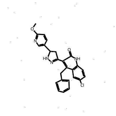 COc1ccc(C2CC(c3c(Cc4ccccc4)c4cc(Cl)ccc4[nH]c3=O)=NN2)cn1